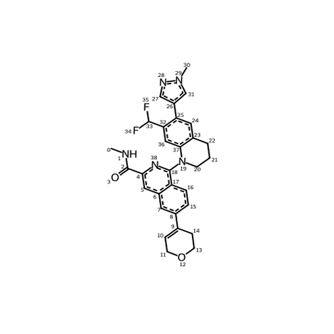 CNC(=O)c1cc2cc(C3=CCOCC3)ccc2c(N2CCCc3cc(-c4cnn(C)c4)c(C(F)F)cc32)n1